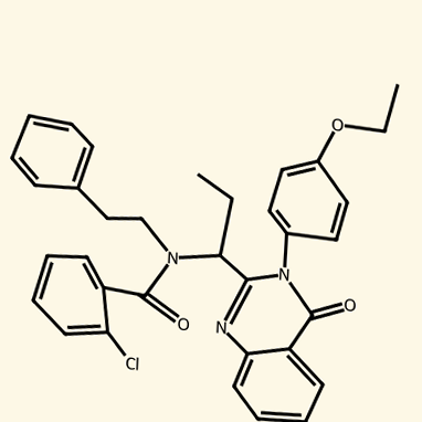 CCOc1ccc(-n2c(C(CC)N(CCc3ccccc3)C(=O)c3ccccc3Cl)nc3ccccc3c2=O)cc1